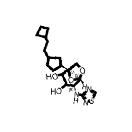 OC1C(O)[C@]2(C3CCC(CCC4CCC4)C3)CO[C@@H](O2)[C@@H]1Nc1ncsn1